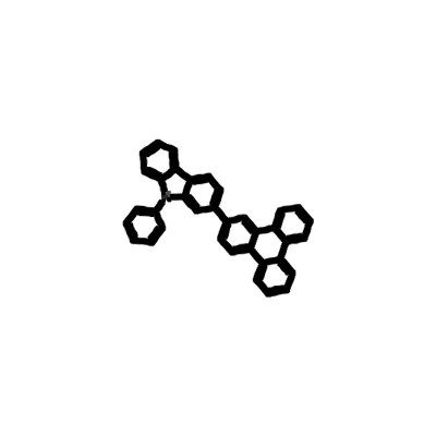 c1ccc(-n2c3ccccc3c3ccc(-c4ccc5c6ccccc6c6ccccc6c5c4)cc32)cc1